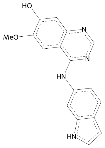 COc1cc2c(Nc3ccc4cc[nH]c4c3)ncnc2cc1O